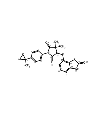 CC1(C)C(=O)N(c2ccc(C3(C(F)(F)F)CC3)cc2)C(=O)N1Cc1ccnc2c1CC(=O)N2